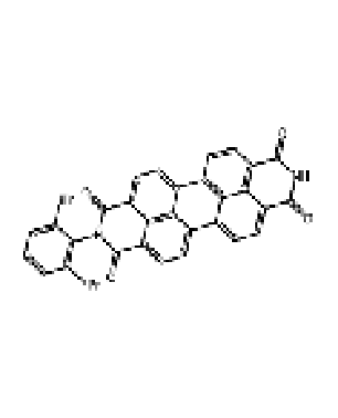 CC(C)c1cccc(C(C)C)c1N1C(=O)c2ccc3c4ccc5c6c(ccc(c7ccc(c2c37)C1=O)c64)C(=O)NC5=O